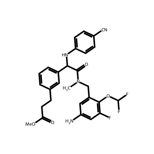 COC(=O)CCc1cccc(C(Nc2ccc(C#N)cc2)C(=O)N(C)Cc2cc(N)cc(F)c2OC(F)F)c1